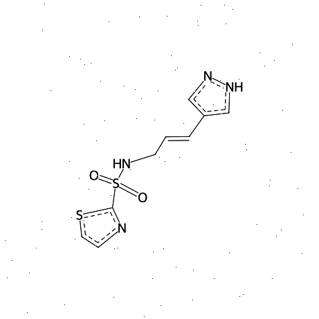 O=S(=O)(NCC=Cc1cn[nH]c1)c1nccs1